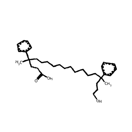 CC(CCCO)(CCCCCCCCCCCC(C)(CCC(=O)O)c1ccccc1)c1ccccc1